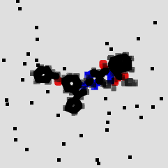 CC(C)(C)OC(=O)C1(NC(=O)c2cnc(N3CC(C4CCCC4)c4cc(OCc5ccccc5)ccc43)nc2C(F)(F)F)C2CC3CC(C2)CC1C3